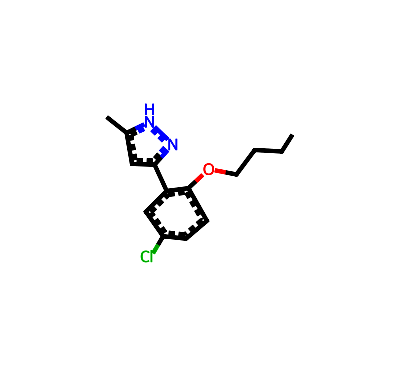 CCCCOc1ccc(Cl)cc1-c1cc(C)[nH]n1